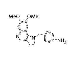 COc1cc2ncc3c(c2cc1OC)N(Cc1ccc(N)cc1)CC3